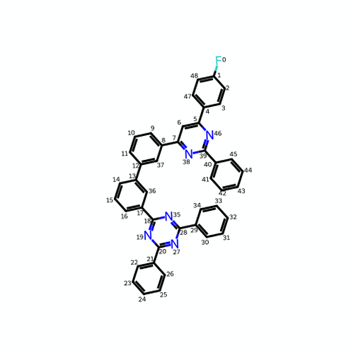 Fc1ccc(-c2cc(-c3cccc(-c4cccc(-c5nc(-c6ccccc6)nc(-c6ccccc6)n5)c4)c3)nc(-c3ccccc3)n2)cc1